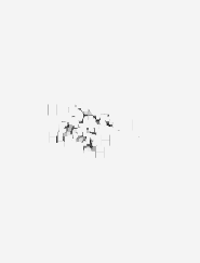 C=COC(=O)NC(CC)COP(=O)(O)O.CN(C)C